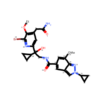 CCOc1c(CC(N)=O)cc(C(O)(CNC(=O)c2cc(OC)c3nn(C4CC4)cc3c2)C2CC2)nc1Br